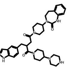 O=C(CC(Cc1ccc2[nH]ncc2c1)C(=O)N1CCC(N2CCNCC2)CC1)N1CCC(N2CCc3ccccc3NC2=O)CC1